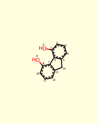 Oc1cccc2c1-c1c(O)cccc1C2